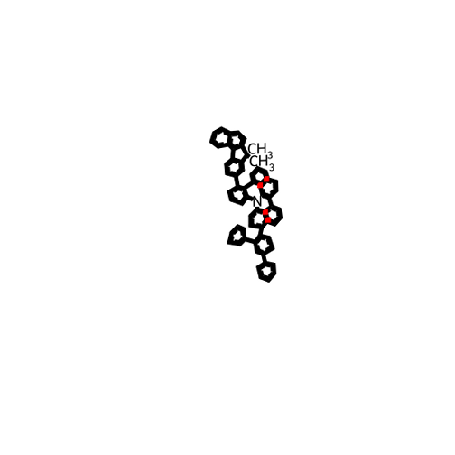 CC1(C)c2cc(-c3cccc(N(c4ccc(-c5ccc(-c6ccccc6)cc5-c5ccccc5)cc4)c4ccccc4-c4ccccc4)c3-c3ccccc3)ccc2-c2c1ccc1ccccc21